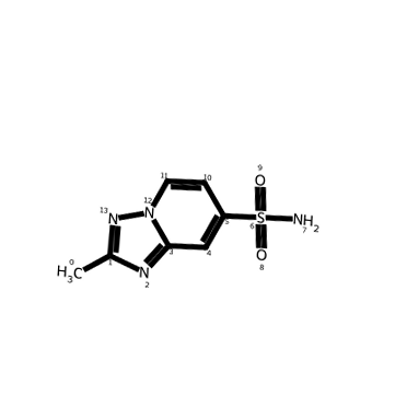 Cc1nc2cc(S(N)(=O)=O)ccn2n1